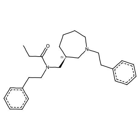 CCC(=O)N(CCc1ccccc1)C[C@H]1CCCCN(CCc2ccccc2)C1